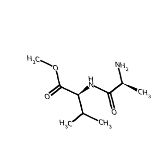 COC(=O)[C@@H](NC(=O)[C@H](C)N)C(C)C